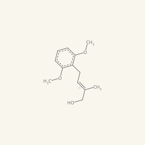 COc1cccc(OC)c1C/C=C(\C)CO